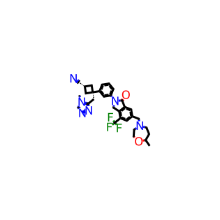 CC1CCN(Cc2cc3c(c(C(F)(F)F)c2)CN(c2cccc([C@]4(Cc5nncn5C)C[C@@H](C#N)C4)c2)C3=O)CCO1